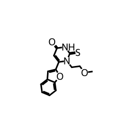 COCCn1c(-c2cc3ccccc3o2)cc(=O)[nH]c1=S